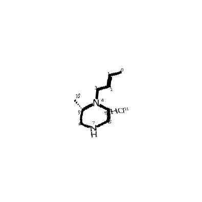 CC=CCN1CCNC[C@@H]1C.Cl